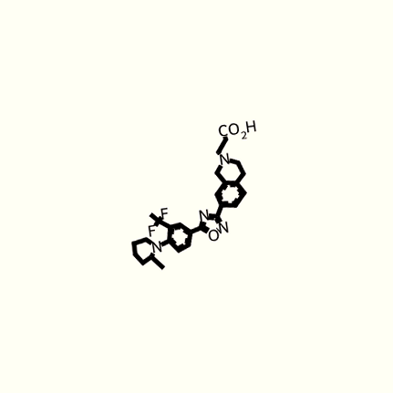 CC1CCCCN1c1ccc(-c2nc(-c3ccc4c(c3)CN(CCC(=O)O)CC4)no2)cc1C(C)(F)F